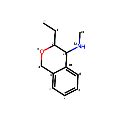 CCC1OCc2ccccc2C1NC